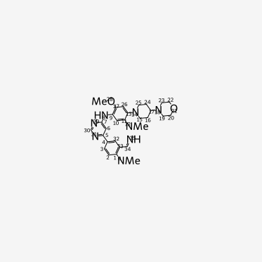 CNc1ccc(-c2cc(Nc3cc(NC)c(N4CCC(N5CCOCC5)CC4)cc3OC)ncn2)cc1C=N